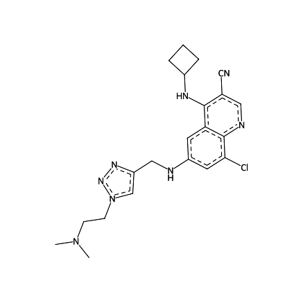 CN(C)CCn1cc(CNc2cc(Cl)c3ncc(C#N)c(NC4CCC4)c3c2)nn1